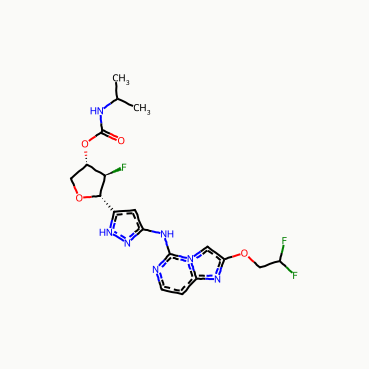 CC(C)NC(=O)O[C@H]1CO[C@@H](c2cc(Nc3nccc4nc(OCC(F)F)cn34)n[nH]2)[C@@H]1F